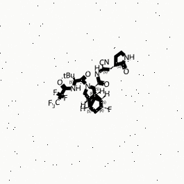 CC(C)(C)[C@H](NC(=O)C(F)(F)C(F)(F)F)C(=O)N1C[C@@H]2[C@H]3C[C@@H]([C@@H]2[C@H]1C(=O)N[C@H](C#N)C[C@@H]1CCNC1=O)[C@H](F)C3